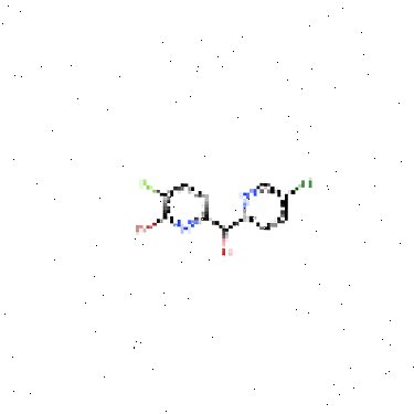 O=C(c1ccc(Cl)cn1)c1ccc(F)c(Br)n1